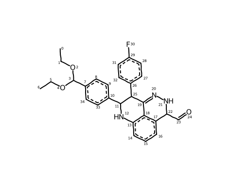 CCOC(OCC)c1ccc(C2Nc3cccc4c3C(=NNC4C=O)C2c2ccc(F)cc2)cc1